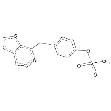 O=S(=O)(Oc1ccc(Cc2nccc3ccsc23)cc1)C(F)(F)F